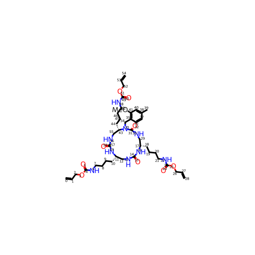 C=CCOC(=O)NCCCC[C@H]1CNC(=O)N[C@@H](CCCCNC(=O)OCC=C)CNC(=O)N(Cc2ccc(C)cc2OC)[C@@H](CCCCNC(=O)OCC=C)CNC(=O)N1